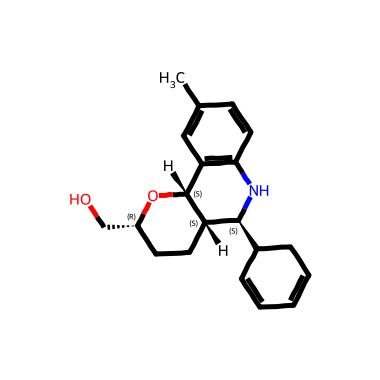 Cc1ccc2c(c1)[C@H]1O[C@@H](CO)CC[C@H]1[C@H](C1C=CC=CC1)N2